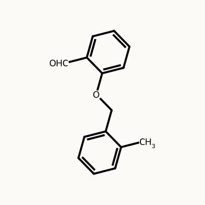 Cc1ccccc1COc1ccccc1C=O